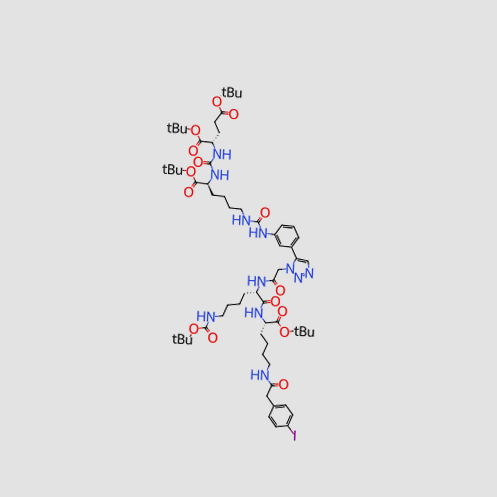 CC(C)(C)OC(=O)CC[C@H](NC(=O)N[C@@H](CCCCNC(=O)Nc1cccc(-c2cnnn2CC(=O)N[C@@H](CCCCNC(=O)OC(C)(C)C)C(=O)N[C@@H](CCCCNC(=O)Cc2ccc(I)cc2)C(=O)OC(C)(C)C)c1)C(=O)OC(C)(C)C)C(=O)OC(C)(C)C